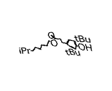 CC(C)CCCCCCOC(=O)CCc1cc(C(C)(C)C)c(O)c(C(C)(C)C)c1